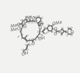 CO[C@H]1C[C@@H](C)C/C(C)=C/[C@@H](C/C=C/CO)C(=O)C[C@H](O)[C@@H](C)[C@@H](/C(C)=C/[C@@H]2CC[C@@H](OC(=O)N3CC(N4CCOCC4)C3)[C@H](OC)C2)OC(=O)[C@@H]2CCCCN2C(=O)C(=O)[C@]2(O)B[C@H]1[C@@H](OC)C[C@H]2C